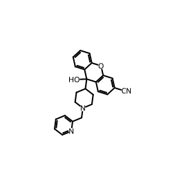 N#Cc1ccc2c(c1)Oc1ccccc1C2(O)C1CCN(Cc2ccccn2)CC1